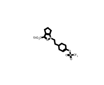 CCOC(=O)c1nn(CCC2CC=C(OS(=O)(=O)C(F)(F)F)CC2)c2c1CCC2